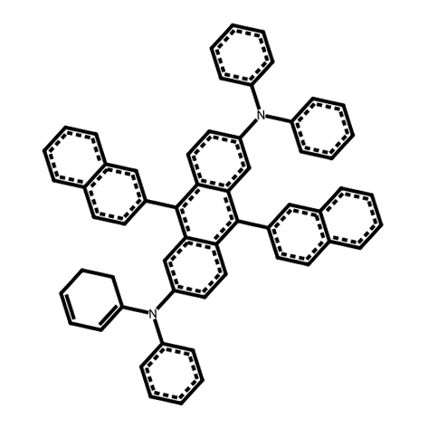 C1=CCCC(N(c2ccccc2)c2ccc3c(-c4ccc5ccccc5c4)c4cc(N(c5ccccc5)c5ccccc5)ccc4c(-c4ccc5ccccc5c4)c3c2)=C1